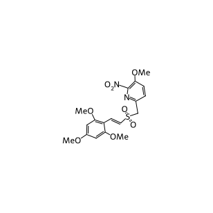 COc1cc(OC)c(/C=C/S(=O)(=O)Cc2ccc(OC)c([N+](=O)[O-])n2)c(OC)c1